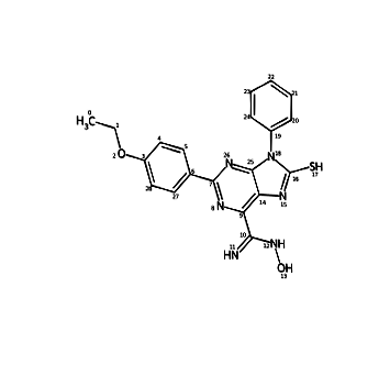 CCOc1ccc(-c2nc(C(=N)NO)c3nc(S)n(-c4ccccc4)c3n2)cc1